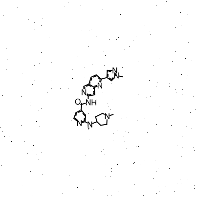 CN1CCC(N(C)c2cc(C(=O)Nc3cc4nc(-c5cnn(C)c5)ccc4cn3)ccn2)CC1